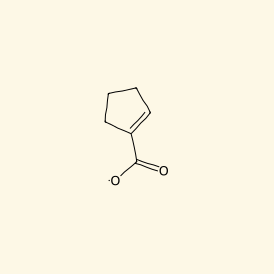 [O]C(=O)C1=CCCC1